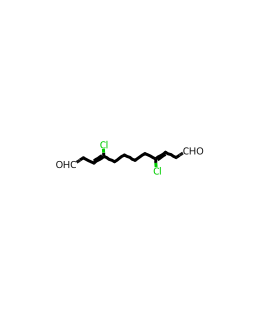 O=CCC=C(Cl)CCCCC(Cl)=CCC=O